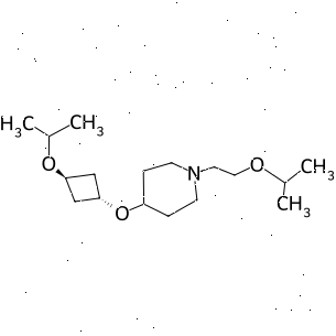 CC(C)OCCN1CCC(O[C@H]2C[C@H](OC(C)C)C2)CC1